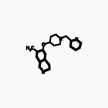 Cc1cc2cnccc2cc1OC1CCN(Cc2ccccn2)CC1